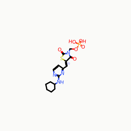 O=C1S/C(=C\c2ccnc(NC3CCCCC3)n2)C(=O)N1COP(=O)(O)O